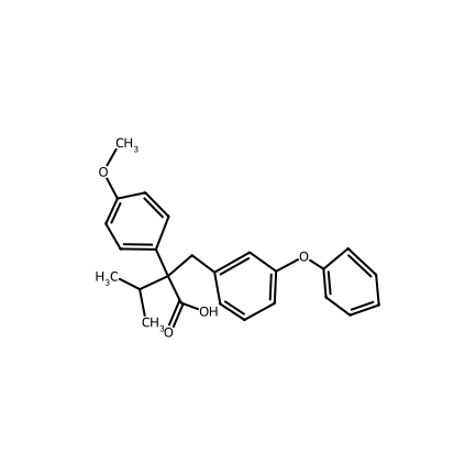 COc1ccc(C(Cc2cccc(Oc3ccccc3)c2)(C(=O)O)C(C)C)cc1